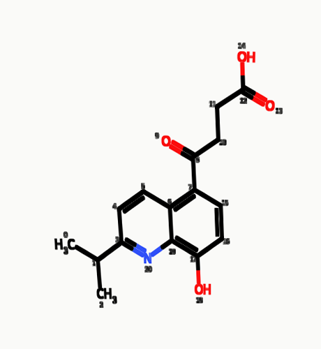 CC(C)c1ccc2c(C(=O)CCC(=O)O)ccc(O)c2n1